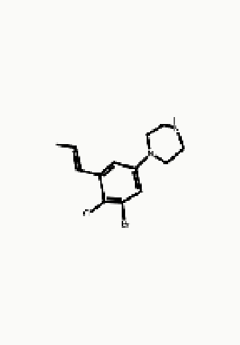 CC=Cc1cc(N2CCNCC2)cc(Br)c1Cl